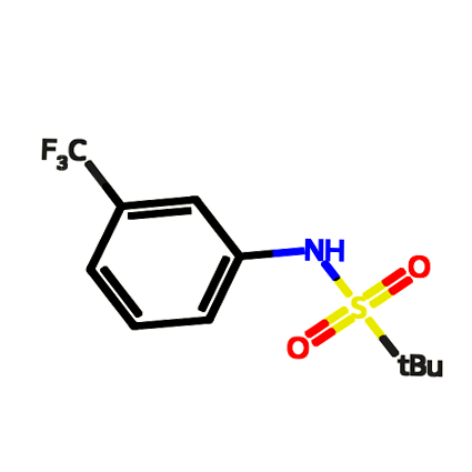 CC(C)(C)S(=O)(=O)Nc1cccc(C(F)(F)F)c1